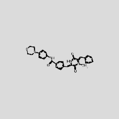 Cn1c(=O)c(=Cc2ccc(C(=O)Nc3ccc(N4CCOCC4)cc3)cc2)[nH]c(=O)c1=Cc1ccccc1